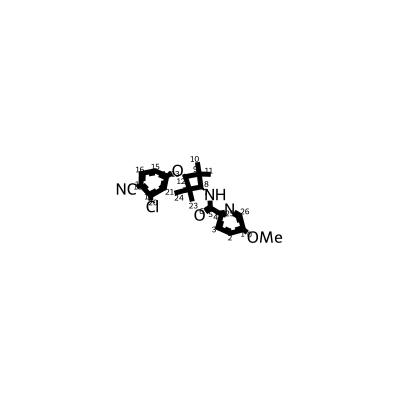 COc1ccc(C(=O)N[C@H]2C(C)(C)[C@H](Oc3ccc(C#N)c(Cl)c3)C2(C)C)nc1